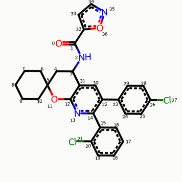 O=C(NC1CC2(CCCCC2)Oc2nc(-c3ccccc3Cl)c(-c3ccc(Cl)cc3)cc21)c1ccno1